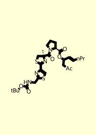 CCC/C=C/C(CC(C)=O)OC(=O)[C@@H]1CCCN1C(=O)[C@]1(C)CSC(c2csc(CNC(=O)OC(C)(C)C)n2)=N1